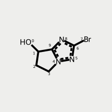 OC1CCn2nc(Br)nc21